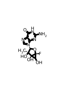 C[C@]1(O)[C@H](n2cnc3c(=O)[nH]c(N)nc32)O[C@]2(F)C(O)[C@]12O